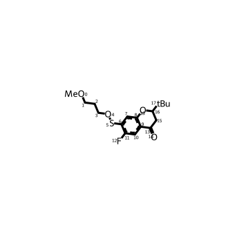 COCCCOSc1cc2c(cc1F)C(=O)CC(C(C)(C)C)O2